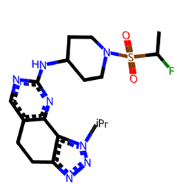 CC(C)n1nnc2c1-c1nc(NC3CCN(S(=O)(=O)C(C)F)CC3)ncc1CC2